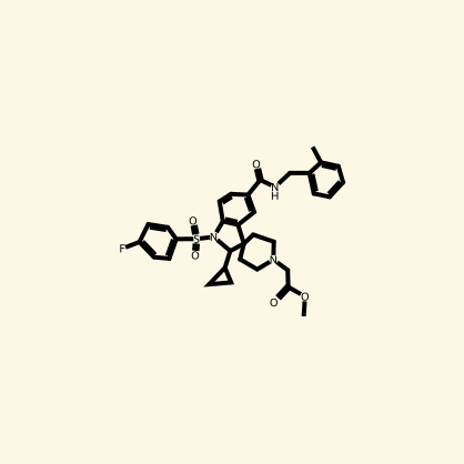 COC(=O)CN1CCC2(CC1)c1cc(C(=O)NCc3ccccc3C)ccc1N(S(=O)(=O)c1ccc(F)cc1)C2C1CC1